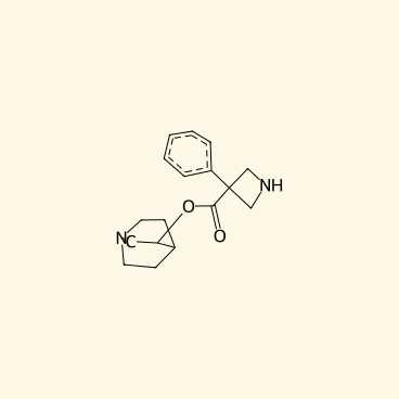 O=C(OC1CN2CCC1CC2)C1(c2ccccc2)CNC1